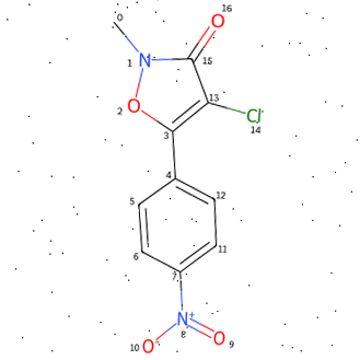 Cn1oc(-c2ccc([N+](=O)[O-])cc2)c(Cl)c1=O